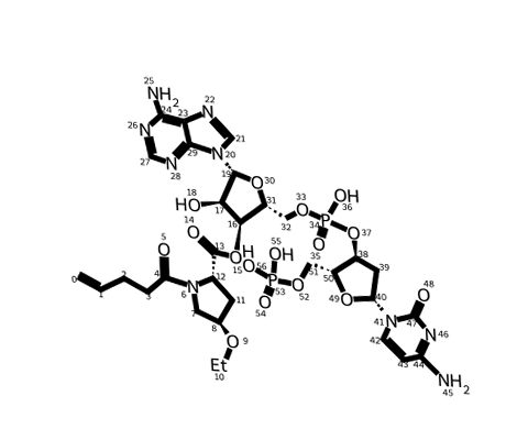 C=CCCC(=O)N1C[C@H](OCC)C[C@H]1C(=O)O[C@H]1[C@@H](O)[C@H](n2cnc3c(N)ncnc32)O[C@@H]1COP(=O)(O)O[C@H]1C[C@H](n2ccc(N)nc2=O)O[C@@H]1COP(=O)(O)O